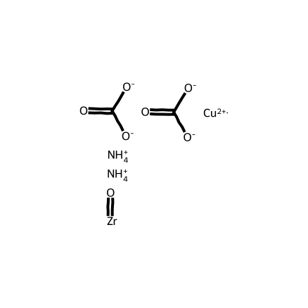 O=C([O-])[O-].O=C([O-])[O-].[Cu+2].[NH4+].[NH4+].[O]=[Zr]